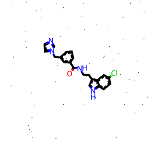 O=C(NCCc1c[nH]c2ccc(Cl)cc12)c1cccc(Cn2ccnc2)c1